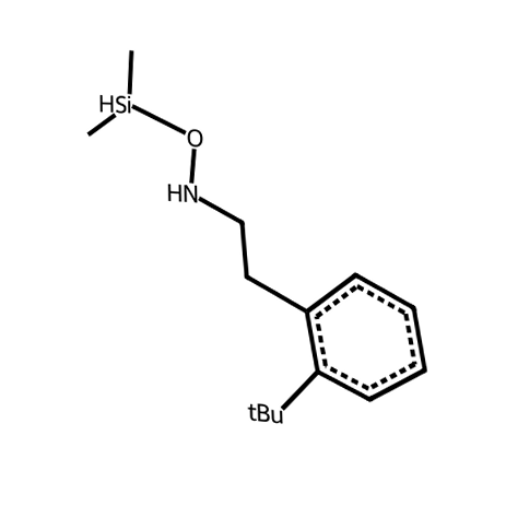 C[SiH](C)ONCCc1ccccc1C(C)(C)C